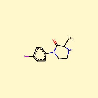 CC1NCCN(c2ccc(I)cc2)C1=O